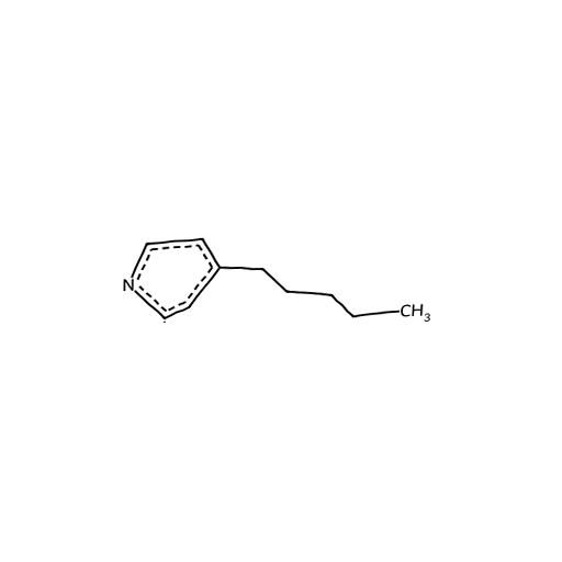 CCCCCc1c[c]ncc1